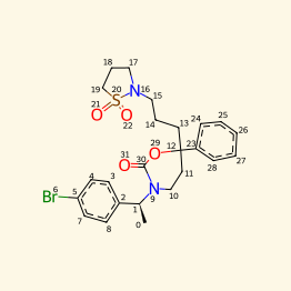 C[C@@H](c1ccc(Br)cc1)N1CCC(CCCN2CCCS2(=O)=O)(c2ccccc2)OC1=O